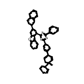 CC1(c2ccccc2)C=CC(c2ccc(-c3nc(-c4ccccc4)nc(-c4cc(-c5ccc6ccccc6c5)cc5oc6ccccc6c45)n3)cc2)=CC1